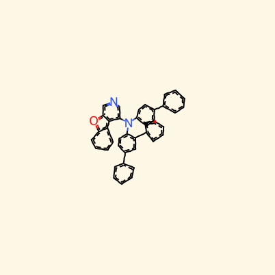 c1ccc(-c2ccc(N(c3ccc(-c4ccccc4)cc3-c3ccccc3)c3cncc4oc5ccccc5c34)cc2)cc1